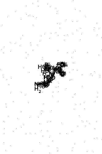 CC(C)(C)[C@@H](NCC[C@H](N)C(=O)N[C@H]1CC[C@@H](C(=O)N[C@@H](CCCCN)C(=O)O)C1)c1cc(-c2cc(F)ccc2F)cn1Cc1ccccc1.O=C(O)C(F)(F)F.OCCO